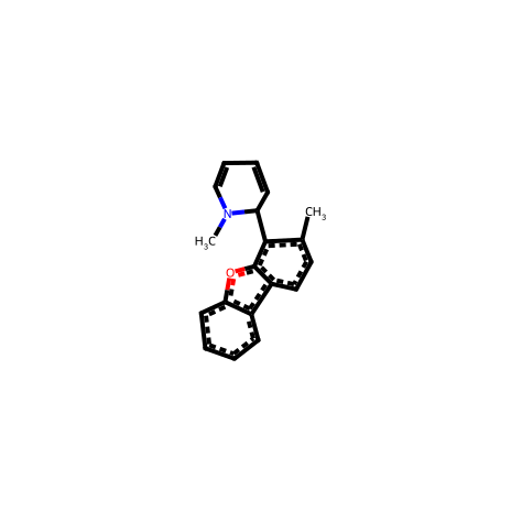 Cc1ccc2c(oc3ccccc32)c1C1C=CC=CN1C